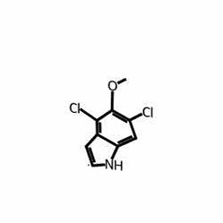 COc1c(Cl)cc2[nH][c]cc2c1Cl